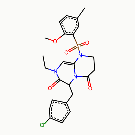 CCN1C=C2N(C(=O)CCN2S(=O)(=O)c2cc(C)ccc2OC)C(Cc2ccc(Cl)cc2)C1=O